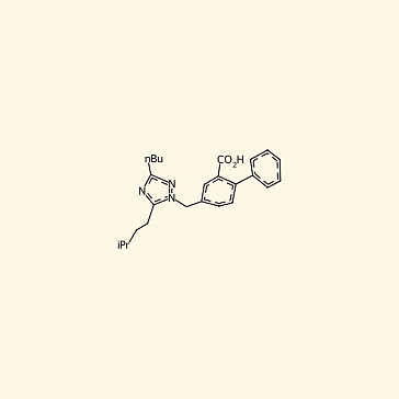 CCCCc1nc(CCC(C)C)n(Cc2ccc(-c3ccccc3)c(C(=O)O)c2)n1